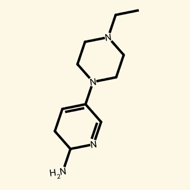 CCN1CCN(C2=CCC(N)N=C2)CC1